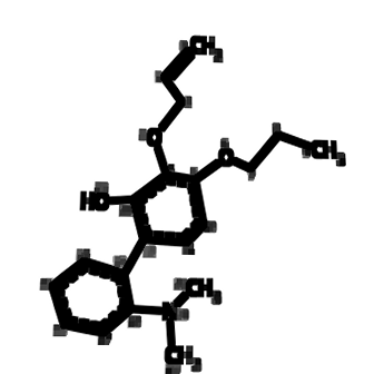 C=CCOc1c(OCCC)ccc(-c2ccccc2N(C)C)c1O